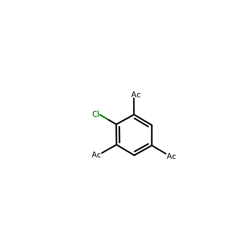 CC(=O)c1cc(C(C)=O)c(Cl)c(C(C)=O)c1